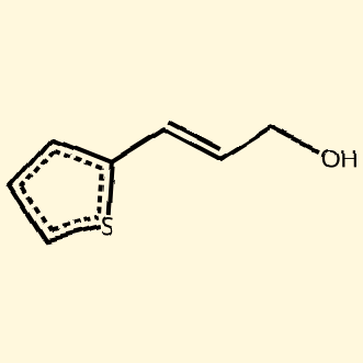 OCC=Cc1cccs1